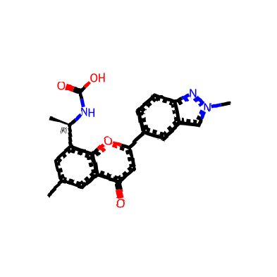 Cc1cc([C@@H](C)NC(=O)O)c2oc(-c3ccc4nn(C)cc4c3)cc(=O)c2c1